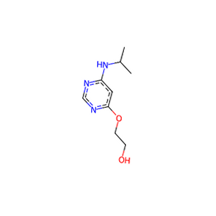 CC(C)Nc1cc(OCCO)ncn1